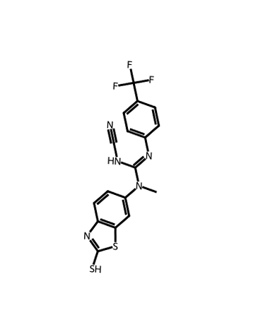 CN(/C(=N/c1ccc(C(F)(F)F)cc1)NC#N)c1ccc2nc(S)sc2c1